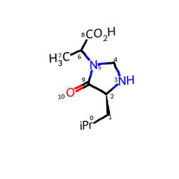 CC(C)C[C@@H]1NCN(C(C)C(=O)O)C1=O